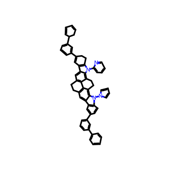 C1=CCC(c2cccc(C3=Cc4c(n(-c5ccccn5)c5c6c7c(cc45)CCc4cc5c8cc(-c9cccc(-c%10ccccc%10)c9)ccc8n(-n8cccc8)c5c(c4-7)CC6)CC3)c2)C=C1